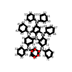 c1ccc(N(c2ccccc2)c2ccc3c(c2)B2c4cc(N(c5ccccc5)c5ccccc5)ccc4N(c4ccccc4)c4cc(N(c5ccccc5)c5ccccc5)cc(c42)N3c2ccccc2)cc1